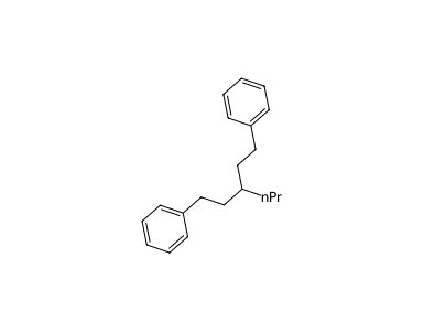 CCCC(CCc1ccccc1)CCc1ccccc1